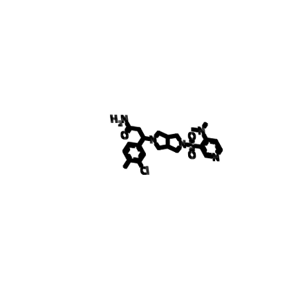 Cc1ccc(C(CC(N)=O)N2CC3CN(S(=O)(=O)c4cnccc4N(C)C)CC3C2)cc1Cl